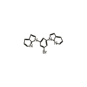 Brc1cc(-n2ccc3cccnc32)cc(-n2ccc3cccnc32)c1